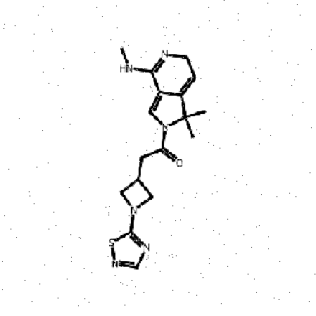 CNC1=NCC=C2C1=CN(C(=O)CC1CN(c3ncns3)C1)C2(C)C